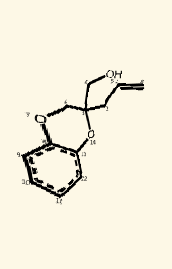 C=CCC1(CO)COc2ccccc2O1